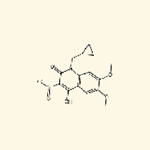 COc1cc2c(O)c([N+](=O)[O-])c(=O)n(CC3CC3)c2cc1OC